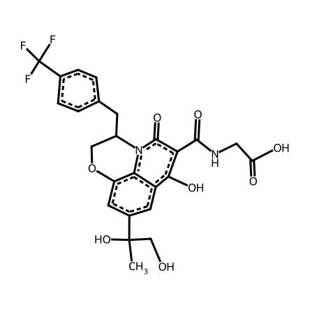 CC(O)(CO)c1cc2c3c(c1)c(O)c(C(=O)NCC(=O)O)c(=O)n3C(Cc1ccc(C(F)(F)F)cc1)CO2